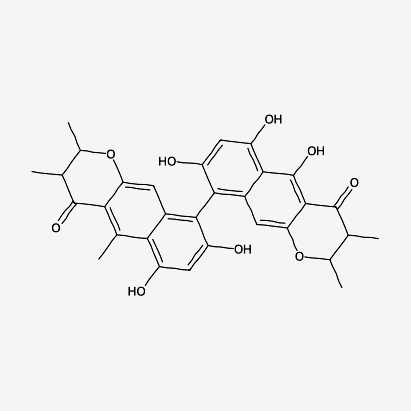 Cc1c2c(cc3c(-c4c(O)cc(O)c5c(O)c6c(cc45)OC(C)C(C)C6=O)c(O)cc(O)c13)OC(C)C(C)C2=O